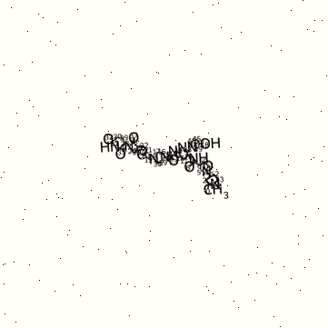 Cc1cc(N2CC(C(=O)Nc3cc4oc(N5CCN(Cc6ccc7c(c6)CN(C6CCC(=O)NC6=O)C7=O)CC5)nc4nc3N3CC[C@@H](O)C3)=CO2)ccn1